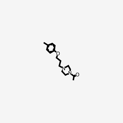 CC(=O)N1CCN(CCCOc2ccc(C)cc2)CC1